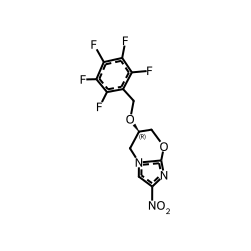 O=[N+]([O-])c1cn2c(n1)OC[C@H](OCc1c(F)c(F)c(F)c(F)c1F)C2